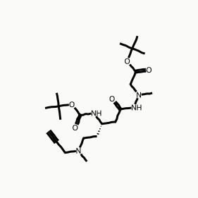 C#CCN(C)CC[C@@H](CC(=O)NN(C)CC(=O)OC(C)(C)C)NC(=O)OC(C)(C)C